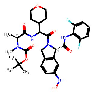 C[C@@H](C(=O)NC(C(=O)N1Cc2ccc(NO)cc2[C@H]1C(=O)Nc1c(F)cccc1F)C1CCOCC1)N(C)C(=O)OC(C)(C)C